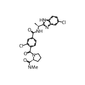 CNC(=O)[C@@H]1CCCN1C(=O)c1ccc(C(=O)N[C@@H](C)c2nc3cc(Cl)ccc3[nH]2)cc1Cl